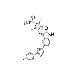 Cc1ccc(-c2nc(-c3ccc4c(c3)/C(=C/c3[nH]c(C)c(C(=O)O)c3C)C(=O)N4)cs2)cc1